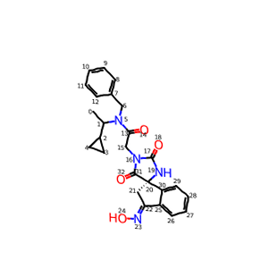 CC(C1CC1)N(Cc1ccccc1)C(=O)CN1C(=O)N[C@]2(CC(=NO)c3ccccc32)C1=O